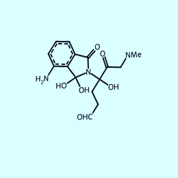 CNCC(=O)C(O)(CCC=O)N1C(=O)c2cccc(N)c2C1(O)O